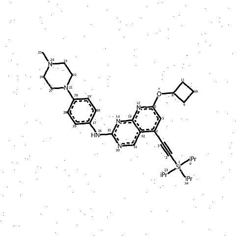 CC(C)[Si](C#Cc1cc(OC2CCC2)nc2nc(Nc3ccc(N4CCN(C)CC4)cc3)ncc12)(C(C)C)C(C)C